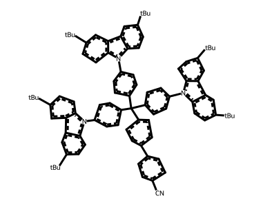 CC(C)(C)c1ccc2c(c1)c1cc(C(C)(C)C)ccc1n2-c1ccc(C(c2ccc(-c3ccc(C#N)cc3)cc2)(c2ccc(-n3c4ccc(C(C)(C)C)cc4c4cc(C(C)(C)C)ccc43)cc2)c2ccc(-n3c4ccc(C(C)(C)C)cc4c4cc(C(C)(C)C)ccc43)cc2)cc1